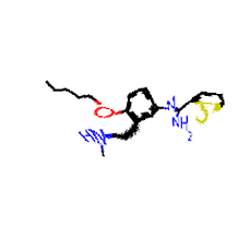 CCCCCOc1ccc(N=C(N)c2cccs2)cc1CNC